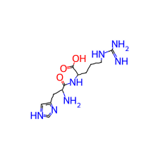 N=C(N)NCCCC(NC(=O)C(N)Cc1c[nH]cn1)C(=O)O